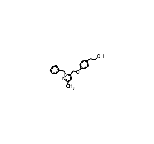 Cc1cc(COc2ccc(CCO)cc2)n(Cc2ccccc2)n1